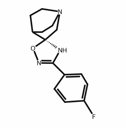 Fc1ccc(C2=NO[C@@]3(CN4CCC3CC4)N2)cc1